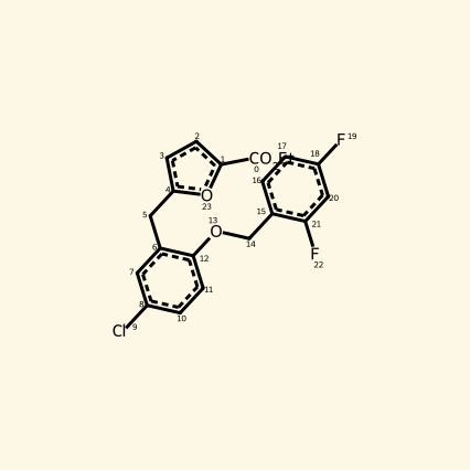 CCOC(=O)c1ccc(Cc2cc(Cl)ccc2OCc2ccc(F)cc2F)o1